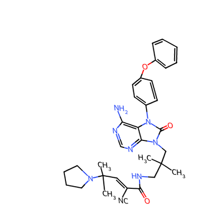 CC(C)(CNC(=O)C(C#N)=CC(C)(C)N1CCCC1)Cn1c(=O)n(-c2ccc(Oc3ccccc3)cc2)c2c(N)ncnc21